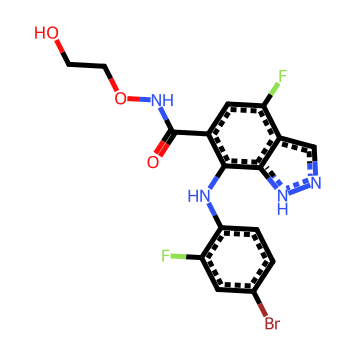 O=C(NOCCO)c1cc(F)c2cn[nH]c2c1Nc1ccc(Br)cc1F